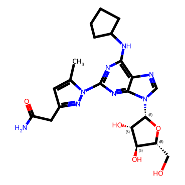 Cc1cc(CC(N)=O)nn1-c1nc(NC2CCCC2)c2ncn([C@@H]3O[C@H](CO)[C@@H](O)[C@@H]3O)c2n1